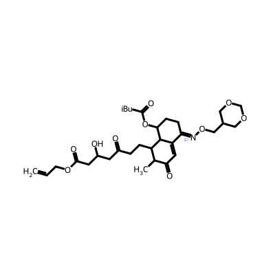 C=CCOC(=O)CC(O)CC(=O)CCC1C(C)C(=O)C=C2/C(=N/OCC3COCOC3)CCC(OC(=O)C(C)CC)C21